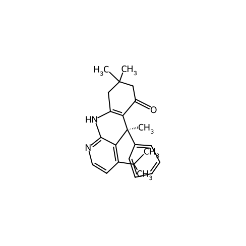 CC(C)c1ccnc2c1[C@](C)(c1ccccc1)C1=C(CC(C)(C)CC1=O)N2